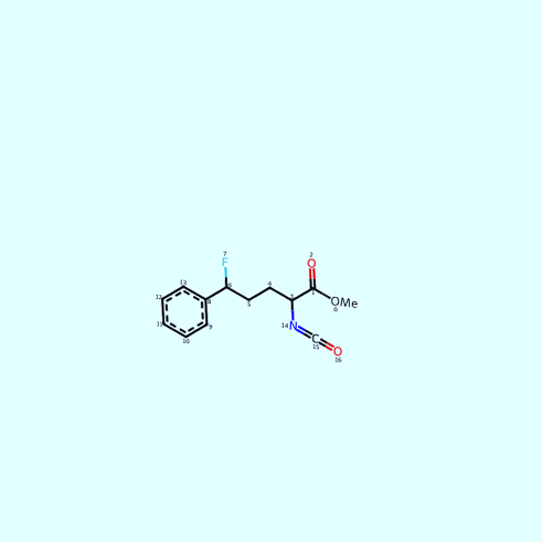 COC(=O)C(CCC(F)c1ccccc1)N=C=O